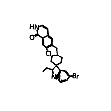 CCC(N)[C@]1(c2cccc(Br)c2)CC[C@H](Cc2cc3cc[nH]c(=O)c3cc2Cl)CC1